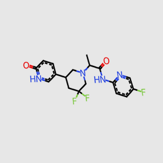 CC(C(=O)Nc1ccc(F)cn1)N1CC(c2ccc(=O)[nH]c2)CC(F)(F)C1